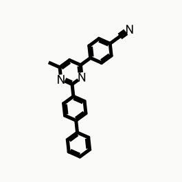 Cc1cc(-c2ccc(C#N)cc2)nc(-c2ccc(-c3ccccc3)cc2)n1